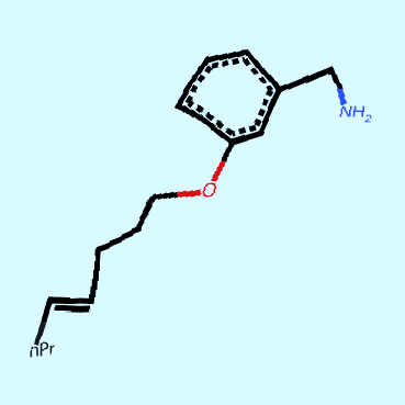 CCCC=CCCCOc1cccc(CN)c1